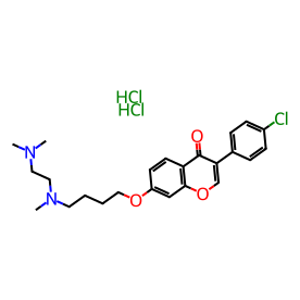 CN(C)CCN(C)CCCCOc1ccc2c(=O)c(-c3ccc(Cl)cc3)coc2c1.Cl.Cl